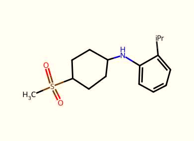 CC(C)c1ccccc1NC1CCC(S(C)(=O)=O)CC1